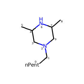 CCCCC[CH]N1CC(C)NC(C)C1